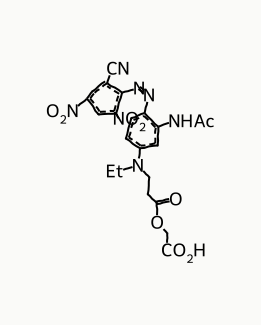 CCN(CCC(=O)OCC(=O)O)c1ccc(/N=N\c2c(C#N)cc([N+](=O)[O-])cc2[N+](=O)[O-])c(NC(C)=O)c1